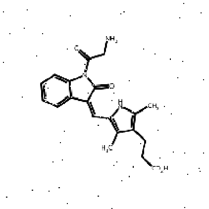 Cc1[nH]c(/C=C2\C(=O)N(C(=O)CN)c3ccccc32)c(C)c1CCC(=O)O